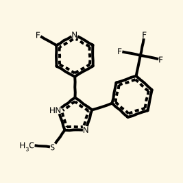 CSc1nc(-c2cccc(C(F)(F)F)c2)c(-c2ccnc(F)c2)[nH]1